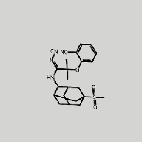 CC(C)(Oc1ccccc1C#N)/C(=N\C#N)NC1C2CC3CC1CC(S(C)(=O)=O)(C3)C2